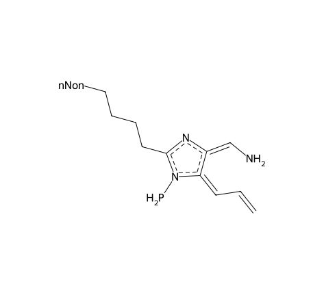 C=C/C=c1\c(=C/N)nc(CCCCCCCCCCCCC)n1P